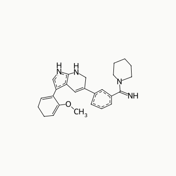 COC1=CCCC=C1c1c[nH]c2c1C=C(c1cccc(C(=N)N3CCCCC3)c1)CN2